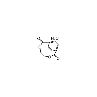 O.O=C1OCCOC(=O)c2ccc1cc2